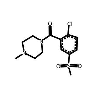 CN1CCN(C(=O)c2cc(S(C)(=O)=O)ccc2Cl)CC1